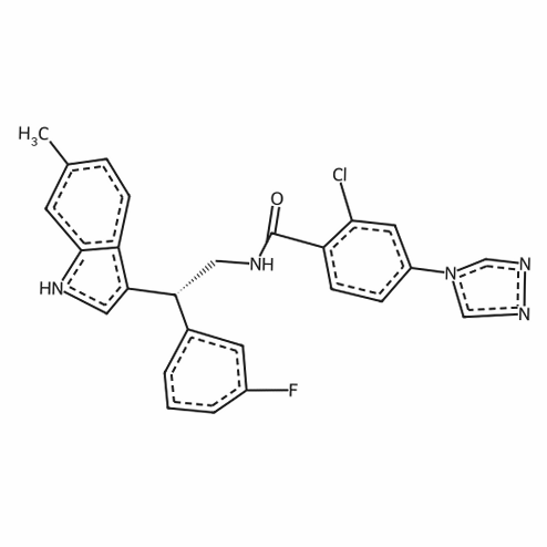 Cc1ccc2c([C@H](CNC(=O)c3ccc(-n4cnnc4)cc3Cl)c3cccc(F)c3)c[nH]c2c1